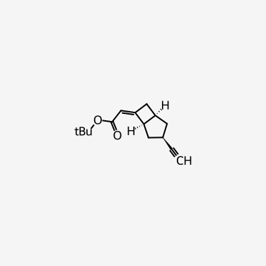 C#C[C@@H]1C[C@@H]2C/C(=C/C(=O)OC(C)(C)C)[C@@H]2C1